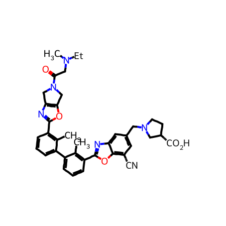 CCN(C)CC(=O)N1Cc2nc(-c3cccc(-c4cccc(-c5nc6cc(CN7CCC(C(=O)O)C7)cc(C#N)c6o5)c4C)c3C)oc2C1